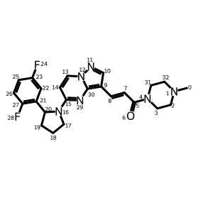 CN1CCN(C(=O)C=Cc2cnn3ccc(N4CCCC4c4cc(F)ccc4F)nc23)CC1